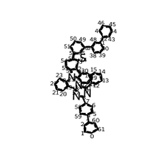 c1ccc(-c2ccc(-c3nc(-c4ccccc4)nc(-c4ccccc4-n4c5ccccc5c5c6sc7c(-c8cccc(-c9ccccc9)c8)cccc7c6ccc54)n3)cc2)cc1